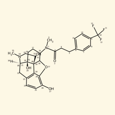 CN(C(=O)CCc1ccc(C(F)(F)F)cc1)C1CC[C@@]2(O)[C@H]3Cc4ccc(O)c5c4[C@@]2(C(O)CN3C)C1O5